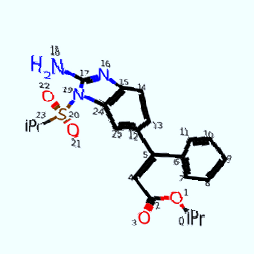 CC(C)OC(=O)C=C(c1ccccc1)c1ccc2nc(N)n(S(=O)(=O)C(C)C)c2c1